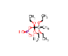 CCOC(OCC)(OP(O)O)[Si](C)(OCC)OCC